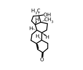 C[C@]12CC[C@H]3[C@@H](CCC4=CC(=O)CC[C@@H]43)[C@@H]1CC[C@@]2(C)O